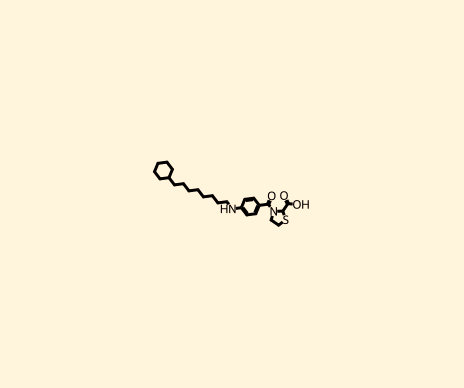 O=C(O)C1SCCN1C(=O)c1ccc(NCCCCCCCCC2CCCCC2)cc1